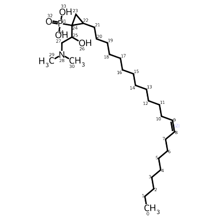 CCCCCCCC/C=C\CCCCCCCCCCCCC1CC1(C(O)CN(C)C)P(=O)(O)O